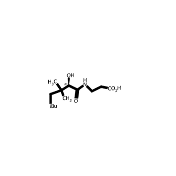 CCC(C)CC(C)(C)[C@@H](O)C(=O)NCCC(=O)O